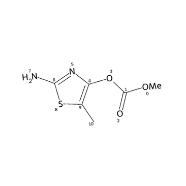 COC(=O)Oc1nc(N)sc1C